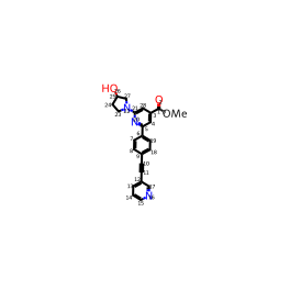 COC(=O)c1cc(-c2ccc(C#Cc3cccnc3)cc2)nc(N2CCC(O)C2)c1